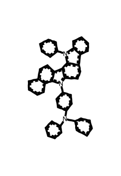 c1ccc(N(c2ccccc2)c2ccc(-n3c4ccc5c6ccccc6n(-c6ccccc6)c5c4c4ccc5ccccc5c43)cc2)cc1